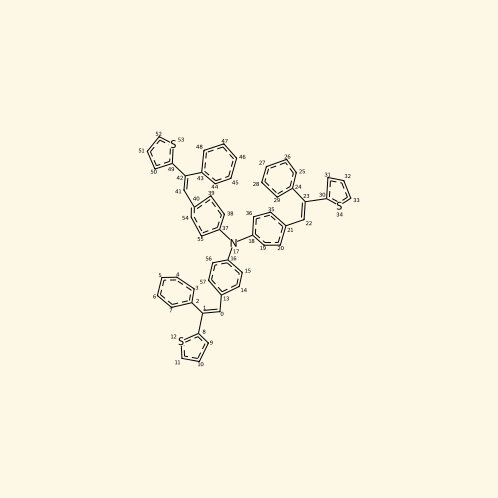 C(=C(/c1ccccc1)c1cccs1)/c1ccc(N(c2ccc(/C=C(\c3ccccc3)c3cccs3)cc2)c2ccc(/C=C(\c3ccccc3)c3cccs3)cc2)cc1